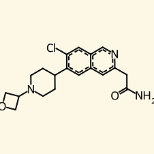 NC(=O)Cc1cc2cc(C3CCN(C4COC4)CC3)c(Cl)cc2cn1